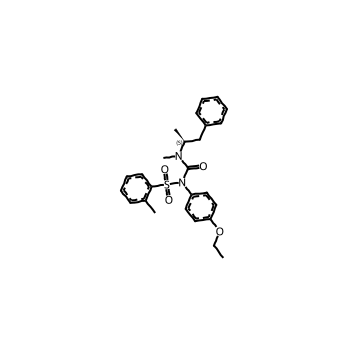 CCOc1ccc(N(C(=O)N(C)[C@@H](C)Cc2ccccc2)S(=O)(=O)c2ccccc2C)cc1